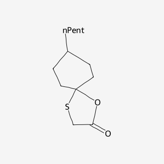 CCCCCC1CCC2(CC1)OC(=O)CS2